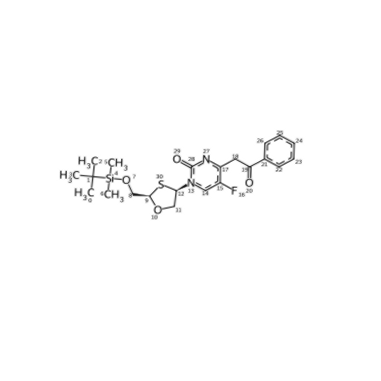 CC(C)(C)[Si](C)(C)OC[C@@H]1OC[C@H](n2cc(F)c(CC(=O)c3ccccc3)nc2=O)S1